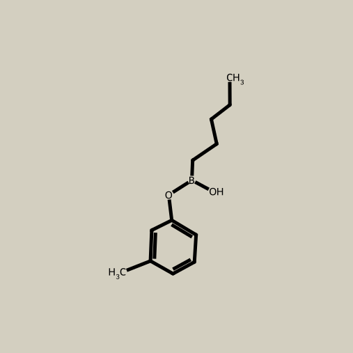 CCCCCB(O)Oc1cccc(C)c1